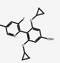 COc1cc(OC2CC2)c(-c2ncc(F)cc2F)c(OC2CC2)c1